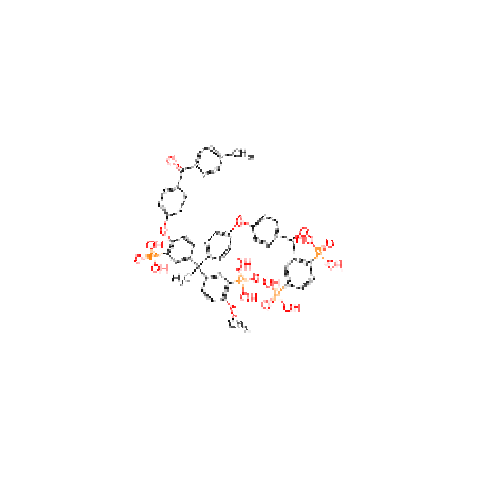 COc1ccc(C(C)(c2ccc(Oc3ccc(C(=O)c4cc(P(=O)(O)O)ccc4P(=O)(O)O)cc3)cc2)c2ccc(Oc3ccc(C(=O)c4ccc(C)cc4)cc3)c(P(=O)(O)O)c2)cc1P(=O)(O)O